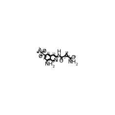 CN(C)S(=O)(=O)c1cc(N)c2cnc(NC(=O)C3CC3C(N)=O)cc2c1